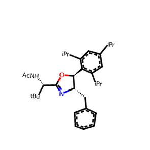 CC(=O)N[C@H](C1=N[C@@H](Cc2ccccc2)[C@H](c2c(C(C)C)cc(C(C)C)cc2C(C)C)O1)C(C)(C)C